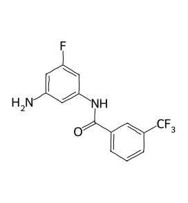 Nc1cc(F)cc(NC(=O)c2cccc(C(F)(F)F)c2)c1